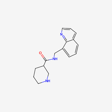 O=C(NCc1cccc2cccnc12)C1CCCNC1